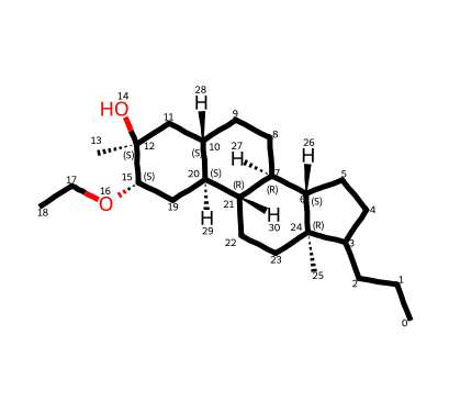 CCCC1CC[C@H]2[C@@H]3CC[C@H]4C[C@](C)(O)[C@@H](OCC)C[C@@H]4[C@H]3CC[C@]12C